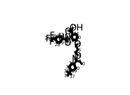 CC/C(=N\OCCCOc1ccc(C(=O)O)c(NC(=O)c2ccc(C(F)(F)F)cc2)c1)c1ccc(C(C)(C)C)cc1